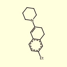 CCc1ccc2c(c1)CCC(N1CCCCC1)=C2